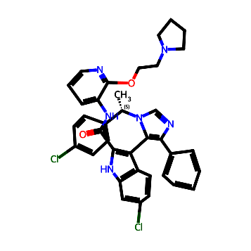 C[C@@H](c1ccc(Cl)cc1)n1cnc(-c2ccccc2)c1-c1c(C(=O)Nc2cccnc2OCCN2CCCC2)[nH]c2cc(Cl)ccc12